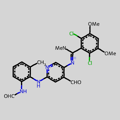 CN/C(=N\c1cnc(Nc2c(C)cccc2NC=O)cc1C=O)c1c(Cl)c(OC)cc(OC)c1Cl